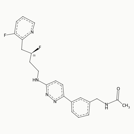 CC(=O)NCc1cccc(-c2ccc(NCC[C@H](F)Cc3ncccc3F)nn2)c1